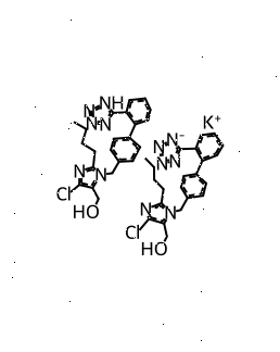 CCCCc1nc(Cl)c(CO)n1Cc1ccc(-c2ccccc2-c2nnn[n-]2)cc1.CCCCc1nc(Cl)c(CO)n1Cc1ccc(-c2ccccc2-c2nnn[nH]2)cc1.[K+]